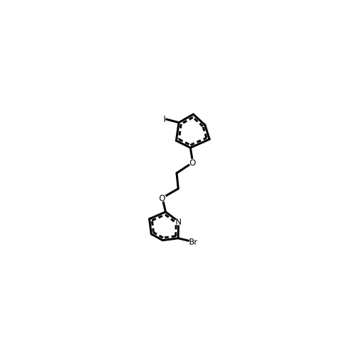 Brc1cccc(OCCOc2cccc(I)c2)n1